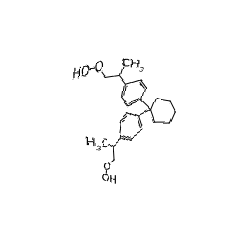 CC(COO)c1ccc(C2(c3ccc(C(C)COO)cc3)CCCCC2)cc1